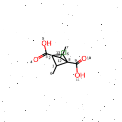 CC1C2(C(=O)O)C(C)C1(C(=O)O)C2Cl